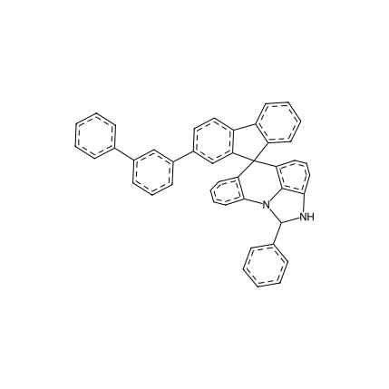 c1ccc(-c2cccc(-c3ccc4c(c3)C3(c5ccccc5-4)c4ccccc4N4c5c(cccc53)NC4c3ccccc3)c2)cc1